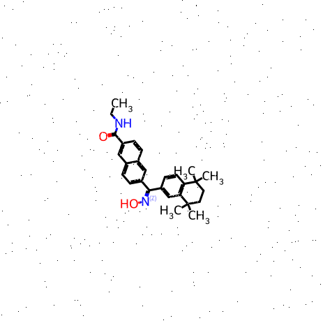 CCNC(=O)c1ccc2cc(/C(=N\O)c3ccc4c(c3)C(C)(C)CCC4(C)C)ccc2c1